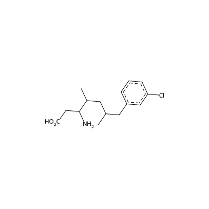 CC(Cc1cccc(Cl)c1)CC(C)C(N)CC(=O)O